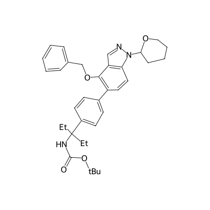 CCC(CC)(NC(=O)OC(C)(C)C)c1ccc(-c2ccc3c(cnn3C3CCCCO3)c2OCc2ccccc2)cc1